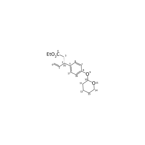 C=C[C@H](CC(=O)OCC)c1ccc(OC2CCCCO2)cc1